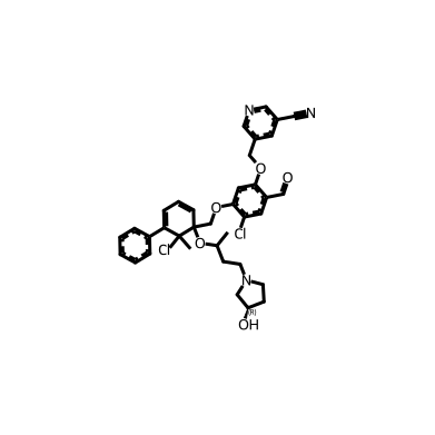 CC(CCN1CC[C@@H](O)C1)OC1(COc2cc(OCc3cncc(C#N)c3)c(C=O)cc2Cl)C=CC=C(c2ccccc2)C1(C)Cl